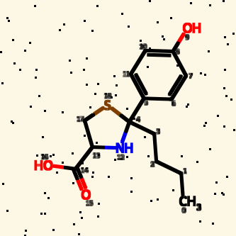 CCCCC1(c2ccc(O)cc2)NC(C(=O)O)CS1